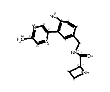 O=C(NCc1ccc(O)c(-c2cnc(C(F)(F)F)cn2)c1)[C@@H]1CCN1